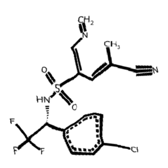 C=N/C=C(\C=C(/C)C#N)S(=O)(=O)N[C@H](c1ccc(Cl)cc1)C(F)(F)F